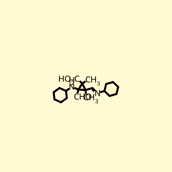 CC1(C=NC2CCCCC2)C(C=O)(NC2CCCCC2)C1(C)C(=O)O